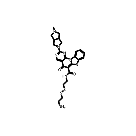 CN1CC2CN(c3ncc4c(=O)c(C(=O)NCCSSCCN)c5sc6ccccc6n5c4n3)CC2C1